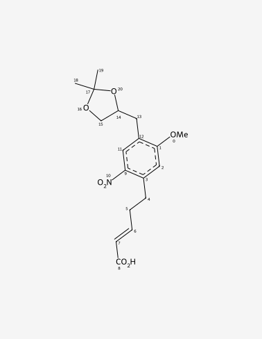 COc1cc(CCC=CC(=O)O)c([N+](=O)[O-])cc1CC1COC(C)(C)O1